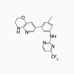 Cc1cc(Nc2nccc(C(F)(F)F)n2)cc(-c2cnc3c(c2)OCCN3)c1